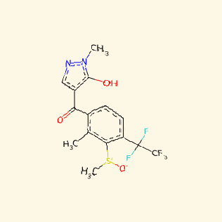 Cc1c(C(=O)c2cnn(C)c2O)ccc(C(F)(F)C(F)(F)F)c1[S+](C)[O-]